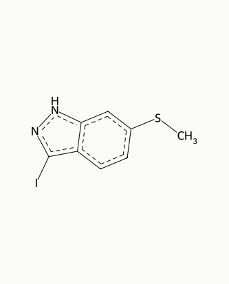 CSc1ccc2c(I)n[nH]c2c1